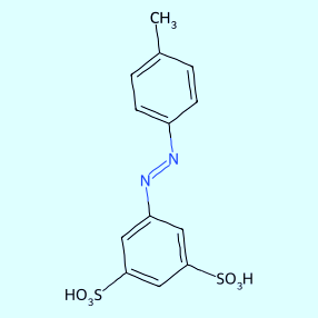 Cc1ccc(N=Nc2cc(S(=O)(=O)O)cc(S(=O)(=O)O)c2)cc1